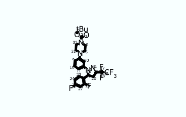 CC(C)(C)OC(=O)N1CCN(c2cccc(N3N=C(C(F)(F)C(F)(F)F)CC3c3ccc(F)cc3F)c2)CC1